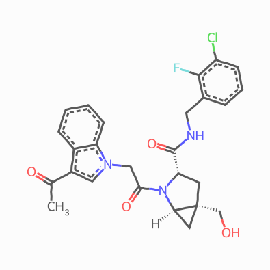 CC(=O)c1cn(CC(=O)N2[C@H](C(=O)NCc3cccc(Cl)c3F)C[C@@]3(CO)C[C@@H]23)c2ccccc12